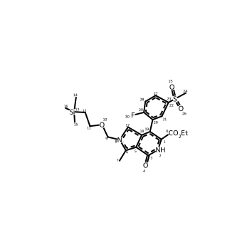 CCOC(=O)c1[nH]c(=O)c2c(C)n(COCC[Si](C)(C)C)cc2c1-c1cc(S(C)(=O)=O)ccc1F